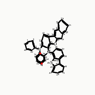 c1ccc(N(c2ccccc2)c2ccc3c(oc4cc5ccccc5cc43)c2N(c2ccccc2)c2cccc3c2sc2ccccc23)cc1